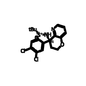 CC(C)(C)[S@+]([O-])N[C@]1(c2ccc(Cl)c(Cl)c2)CCOc2cccnc21